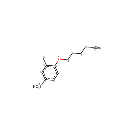 CCCCCCCCCCCCCCOc1ccc(S(=O)(=O)O)cc1C